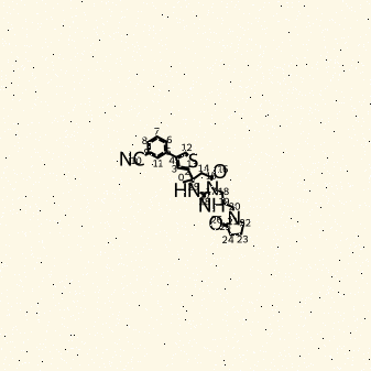 CC1(c2cc(-c3cccc(C#N)c3)cs2)CC(=O)N(CCCN2CCCC2=O)C(=N)N1